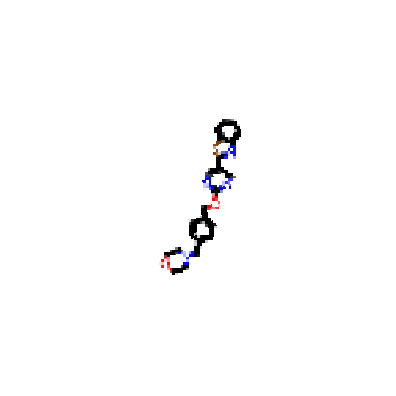 [c]1nc(OCc2ccc(CN3CCOCC3)cc2)ncc1-c1nc2ccccc2s1